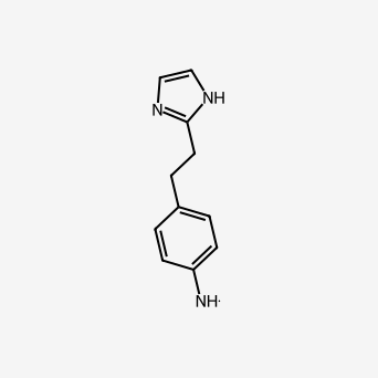 [NH]c1ccc(CCc2ncc[nH]2)cc1